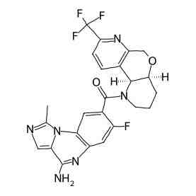 Cc1ncc2c(N)nc3cc(F)c(C(=O)N4CCC[C@@H]5OCc6nc(C(F)(F)F)ccc6[C@@H]54)cc3n12